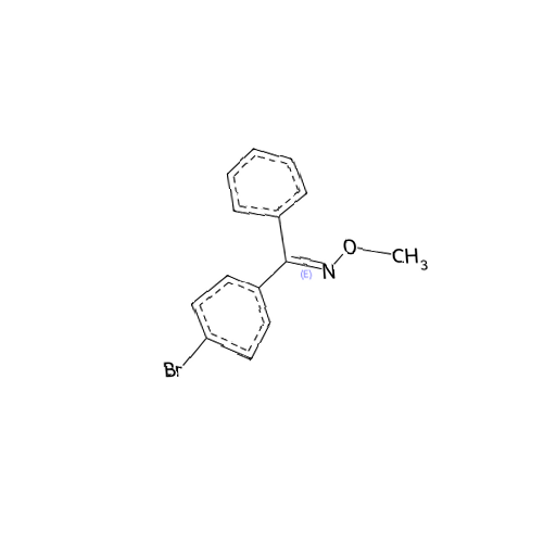 CO/N=C(\c1ccccc1)c1ccc(Br)cc1